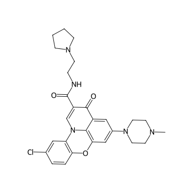 CN1CCN(c2cc3c4c(c2)c(=O)c(C(=O)NCCN2CCCC2)cn4-c2cc(Cl)ccc2O3)CC1